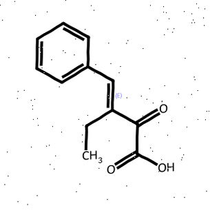 CC/C(=C\c1ccccc1)C(=O)C(=O)O